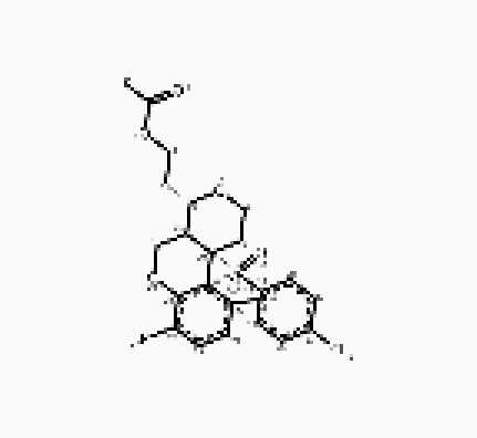 CC(=O)OCC[C@@H]1OCC[C@@]2(S(=O)(=O)c3ccc(Cl)cc3)c3c(F)ccc(F)c3OCC12